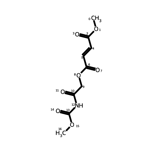 COC(=O)/C=C/C(=O)OCC(=O)NC(=O)OC